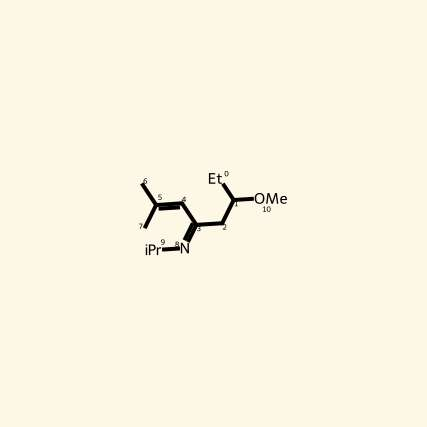 CCC(C/C(C=C(C)C)=N/C(C)C)OC